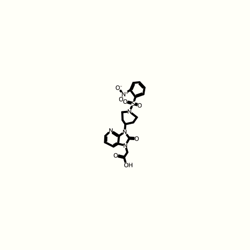 O=C(O)Cn1c(=O)n(C2CCN(S(=O)(=O)c3ccccc3[N+](=O)[O-])CC2)c2ncccc21